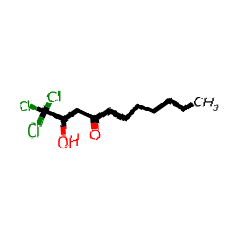 CCCCCCCC(=O)CC(O)C(Cl)(Cl)Cl